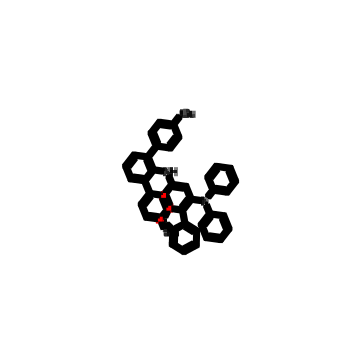 CC(C)(C)c1ccc(-c2cccc(-c3ccc(C(C)(C)C)cc3)c2Nc2cc(N(c3ccccc3)c3ccccc3)c3c(c2)oc2ccccc23)cc1